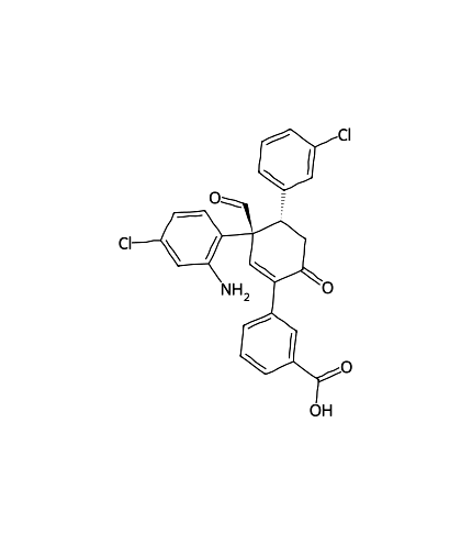 Nc1cc(Cl)ccc1[C@@]1(C=O)C=C(c2cccc(C(=O)O)c2)C(=O)C[C@H]1c1cccc(Cl)c1